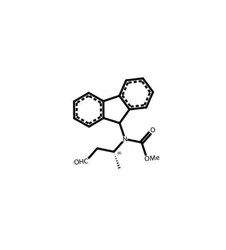 COC(=O)N(C1c2ccccc2-c2ccccc21)[C@H](C)C[C]=O